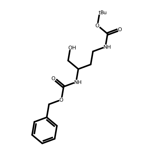 CC(C)(C)OC(=O)NCCC(CO)NC(=O)OCc1ccccc1